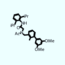 COc1cc(OC)cc(-c2cccc(CN(CC(=O)Nc3c(C(C)C)cccc3C(C)C)C(C)=O)c2C)c1